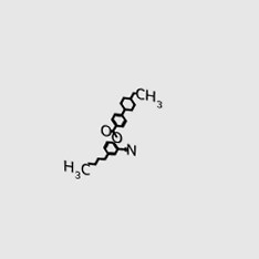 CCCCCc1ccc(OC(=O)c2ccc(C3CCC(CC)CC3)cc2)c(C#N)c1